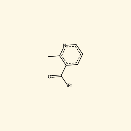 Cc1ncccc1C(=O)C(C)C